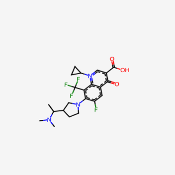 CC(C1CCN(c2c(F)cc3c(=O)c(C(=O)O)cn(C4CC4)c3c2C(F)(F)F)C1)N(C)C